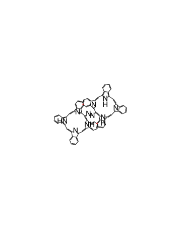 c1ccc2c(c1)-c1cc3[nH]c(cc4nc(c(N=Nc5c6nc(cc7[nH]c(cc8nc(cc9[nH]c5c5ccccc95)-c5ccccc5-8)c5ccccc75)-c5ccccc5-6)c5[nH]c(cc-2n1)c1ccccc51)-c1ccccc1-4)c1ccccc31